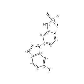 CS(=O)(=O)Nc1cccc(-n2cnc3ccc(Br)nc32)c1